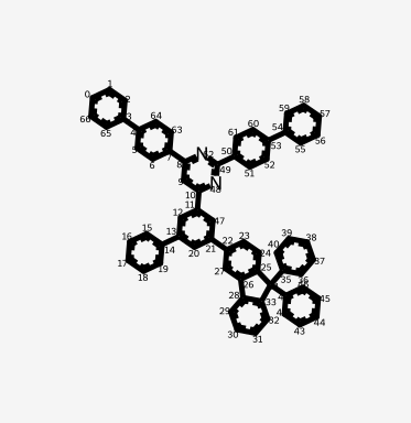 c1ccc(-c2ccc(-c3cc(-c4cc(-c5ccccc5)cc(-c5ccc6c(c5)-c5ccccc5C6(c5ccccc5)c5ccccc5)c4)nc(-c4ccc(-c5ccccc5)cc4)n3)cc2)cc1